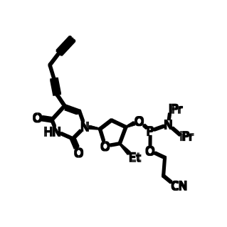 C#CCC#Cc1cn([C@H]2C[C@@H](OP(OCCC#N)N(C(C)C)C(C)C)[C@@H](CC)O2)c(=O)[nH]c1=O